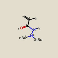 C=C(C)C(=O)N(C)N(CCCC)CCCC